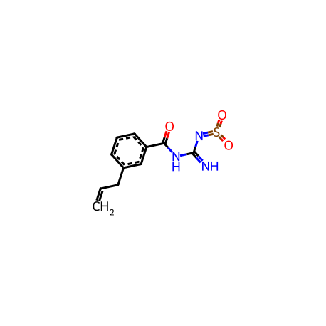 C=CCc1cccc(C(=O)NC(=N)N=S(=O)=O)c1